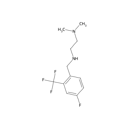 CN(C)CCNCc1ccc(F)cc1C(F)(F)F